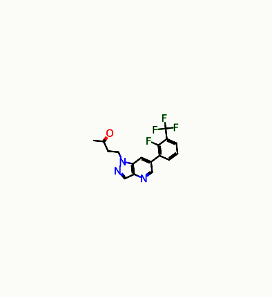 CC(=O)CCn1ncc2ncc(-c3cccc(C(F)(F)F)c3F)cc21